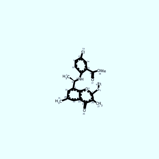 CCSc1oc2c([C@@H](C)Nc3ccc(Cl)cc3C(=O)OC)cc(C)cc2c(=O)c1C